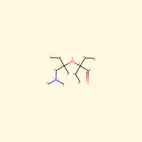 CCC(C)(CN(C)C)OC(C=O)(CC)CC